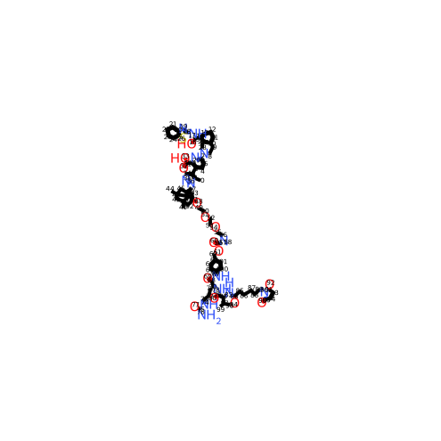 Cc1c(-c2ccc(N3CCc4cccc(C(O)Nc5nc6ccccc6s5)c4C3)nc2C(=O)O)cnn1CC12CC3(C)CC(C)(C1)CC(OCCOCCOCCN(C)C(=O)OCc1ccc(NC(=O)[C@H](CCCNC(N)=O)NC(=O)[C@@H](NC(=O)CCCCCN4C(=O)C=CC4=O)C(C)C)cc1)(C3)C2